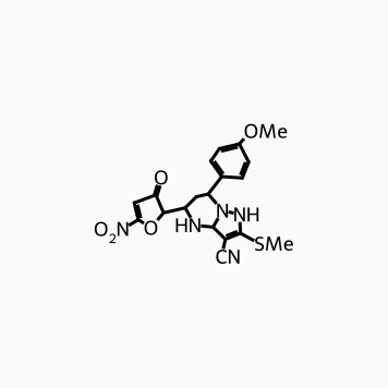 COc1ccc(C2CC(C3OC([N+](=O)[O-])=CC3=O)NC3C(C#N)=C(SC)NN32)cc1